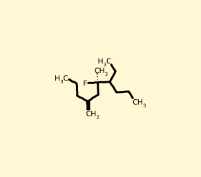 C=C(CCC)C[C@@](C)(F)C(CC)CCC